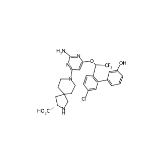 Nc1nc(OC(c2ccc(Cl)cc2-c2cccc(O)c2)C(F)(F)F)cc(N2CCC3(CC2)CN[C@H](C(=O)O)C3)n1